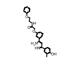 Cc1cc(C(=N)/C=C(\N)c2cccc(OCC(=O)NCCOc3ccccc3)c2)ccc1O